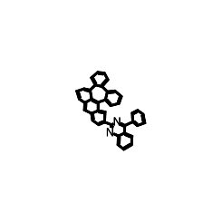 c1ccc(-c2nc(-c3ccc4cc5cccc6c5c(c4c3)-c3ccccc3-c3ccccc3-6)nc3ccccc23)cc1